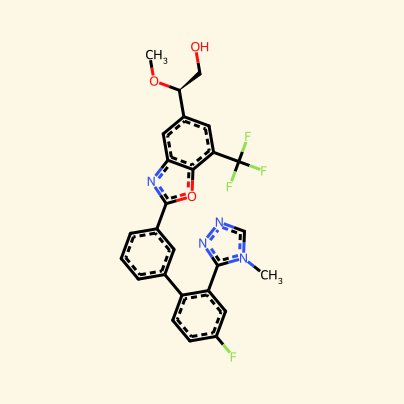 CO[C@@H](CO)c1cc(C(F)(F)F)c2oc(-c3cccc(-c4ccc(F)cc4-c4nncn4C)c3)nc2c1